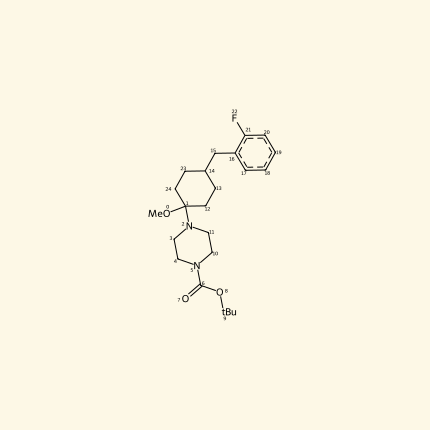 COC1(N2CCN(C(=O)OC(C)(C)C)CC2)CCC(Cc2ccccc2F)CC1